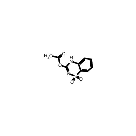 CC(=O)OC1=NS(=O)(=O)c2ccccc2N1